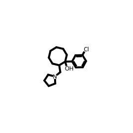 OC1(c2cccc(Cl)c2)CCCCCCC1CN1CCCC1